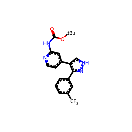 CC(C)(C)OC(=O)Nc1cc(-c2c[nH]nc2-c2cccc(C(F)(F)F)c2)ccn1